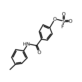 Cc1ccc(NC(=O)c2ccc(OS(=O)(=O)F)cc2)cc1